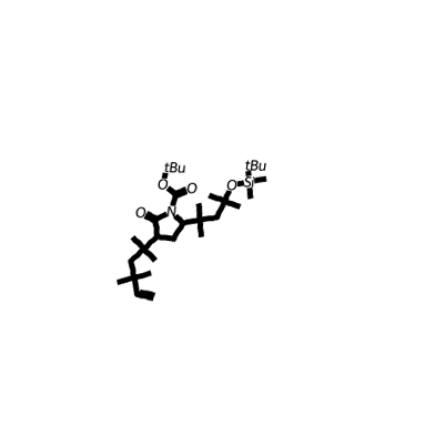 C=CC(C)(C)CC(C)(C)C1CC(C(C)(C)CC(C)(C)O[Si](C)(C)C(C)(C)C)N(C(=O)OC(C)(C)C)C1=O